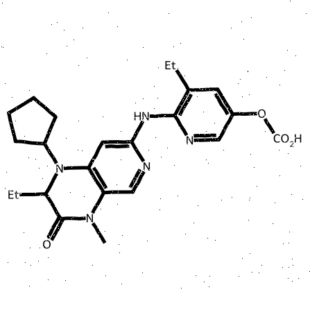 CCc1cc(OC(=O)O)cnc1Nc1cc2c(cn1)N(C)C(=O)C(CC)N2C1CCCC1